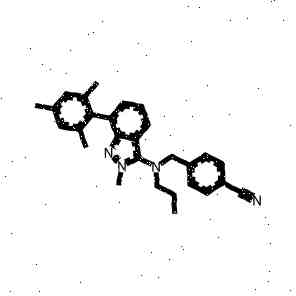 CCCN(Cc1ccc(C#N)cc1)c1c2cccc(-c3c(C)cc(C)cc3C)c2nn1C